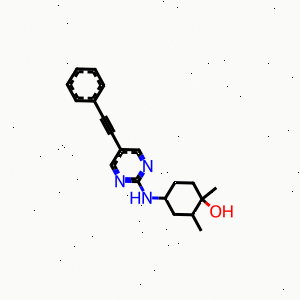 CC1CC(Nc2ncc(C#Cc3ccccc3)cn2)CCC1(C)O